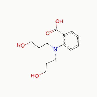 O=C(O)c1ccccc1N(CCCO)CCCO